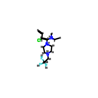 C=C/C(Cl)=C(\N(C)CC)N1CCN(CC(F)(F)F)CC1